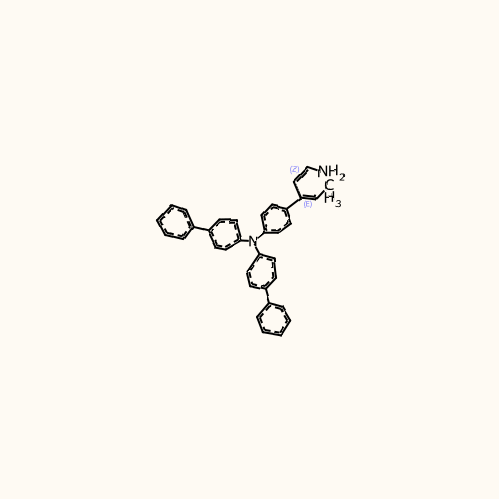 C/C=C(\C=C/N)c1ccc(N(c2ccc(-c3ccccc3)cc2)c2ccc(-c3ccccc3)cc2)cc1